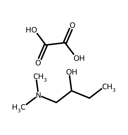 CCC(O)CN(C)C.O=C(O)C(=O)O